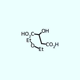 CCOCC.O=C(O)CC(O)C(=O)O